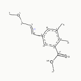 COC/C=C/c1cc(C)c(C)c(C(=O)OC)c1